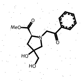 COC(=O)[C@@H]1CC(O)(CO)CN1CC(=O)c1ccccc1